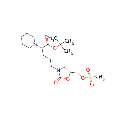 CC(C)(C)OC(=O)C(CCCN1CC(COS(C)(=O)=O)OC1=O)N1CCCCC1